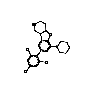 Clc1cc(Cl)c(-c2cc3c(c(N4CCCCC4)c2)OC2CCNCC32)c(Cl)c1